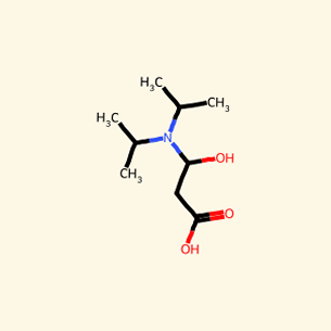 CC(C)N(C(C)C)C(O)CC(=O)O